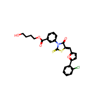 O=C(OCCCCO)c1cccc(N2C(=O)C(=Cc3ccc(-c4ccccc4Cl)o3)SC2=S)c1